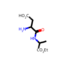 CCOC(=O)C(C)NC(=O)C(N)CC(=O)O